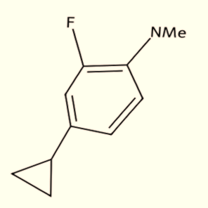 CNc1ccc(C2CC2)cc1F